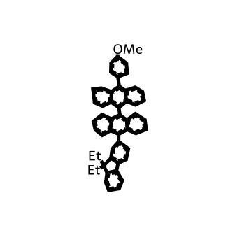 CCC1(CC)c2ccccc2-c2ccc(-c3c4ccccc4c(-c4c5ccccc5c(-c5ccc(OC)cc5)c5ccccc45)c4ccccc34)cc21